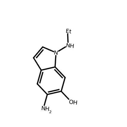 CCNn1ccc2cc(N)c(O)cc21